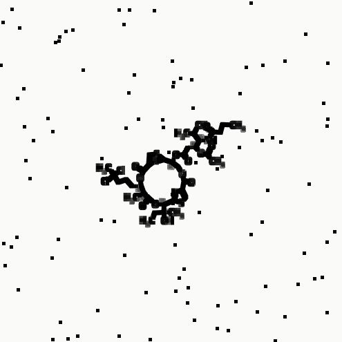 CCCC(=O)N[C@@H](C(C)C)[C@@H](CC(=O)O[C@@H]1COC(=O)c2csc(n2)[C@@H]([C@@](C)(O)CC)OC(=O)[C@@H](C)[C@H](CCCC(C)(Cl)Cl)OC(=O)c2csc1n2)OC(C)=O